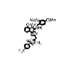 COc1ccc(CNc2nc3c(OC)cccc3c3nc(C[C@H](C)OS(=O)(=O)c4ccc(C(F)(F)F)cc4)nn23)c(OC)c1